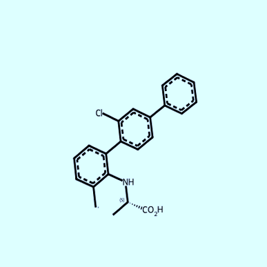 [CH2]c1cccc(-c2ccc(-c3ccccc3)cc2Cl)c1N[C@@H](C)C(=O)O